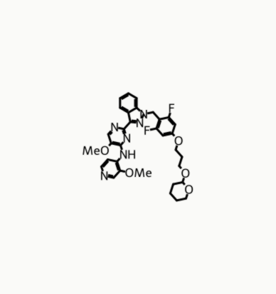 COc1cnccc1Nc1nc(-c2nn(Cc3c(F)cc(OCCCOC4CCCCO4)cc3F)c3ccccc23)ncc1OC